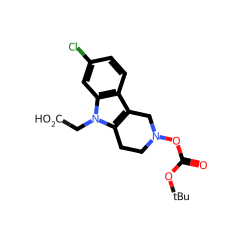 CC(C)(C)OC(=O)ON1CCc2c(c3ccc(Cl)cc3n2CC(=O)O)C1